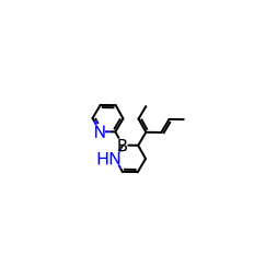 CC=CC(=CC)C1CC=CNB1c1ccccn1